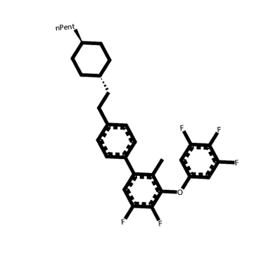 CCCCC[C@H]1CC[C@H](CCc2ccc(-c3cc(F)c(F)c(Oc4cc(F)c(F)c(F)c4)c3C)cc2)CC1